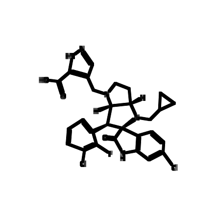 O=C(O)c1[nH]ncc1CN1CC[C@H]2[C@@H]1[C@H](c1cccc(Cl)c1F)[C@]1(C(=O)Nc3cc(Cl)ccc31)N2CC1CC1